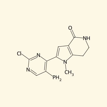 Cn1c(-c2nc(Cl)ncc2P)cc2c1CCNC2=O